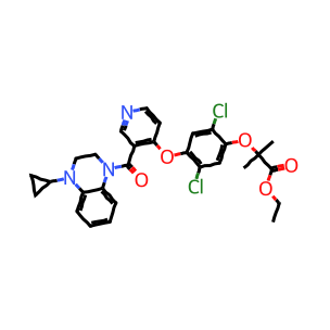 CCOC(=O)C(C)(C)Oc1cc(Cl)c(Oc2ccncc2C(=O)N2CCN(C3CC3)c3ccccc32)cc1Cl